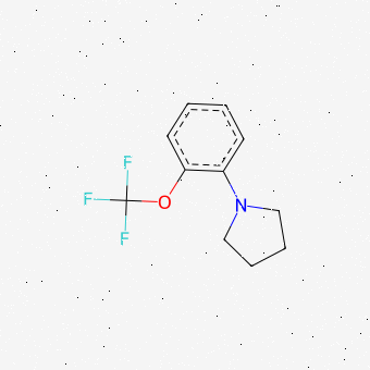 FC(F)(F)Oc1ccccc1N1CCCC1